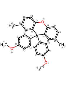 COc1ccc(C2(c3ccc(OC)cc3)c3cc(C)ccc3Oc3ccc(C)cc32)cc1